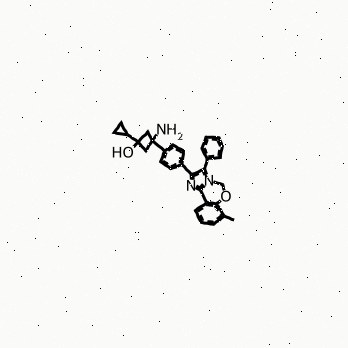 Cc1cccc2c1OCn1c-2nc(-c2ccc(C3(N)CC(O)(C4CC4)C3)cc2)c1-c1ccccc1